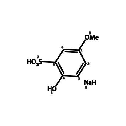 COc1ccc(O)c(S(=O)(=O)O)c1.[NaH]